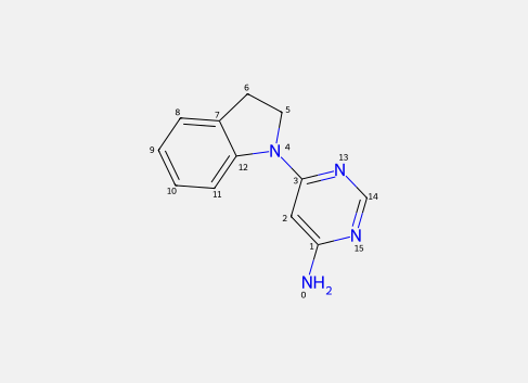 Nc1cc(N2CCc3ccccc32)ncn1